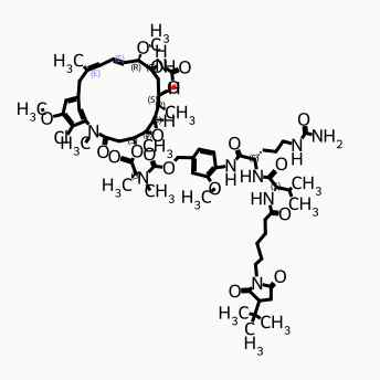 COc1cc(COC(=O)N(C)[C@@H](C)C(=O)O[C@H]2CC(=O)N(C)c3cc(cc(OC)c3Cl)C/C(C)=C/C=C/[C@@H](OC)[C@@]3(O)C[C@H](OC(=O)N3)[C@@H](C)[C@@H]3O[C@@]23C)ccc1NC(=O)[C@H](CCCNC(N)=O)NC(=O)[C@@H](NC(=O)CCCCCN1C(=O)CC(C(C)(C)C)C1=O)C(C)C